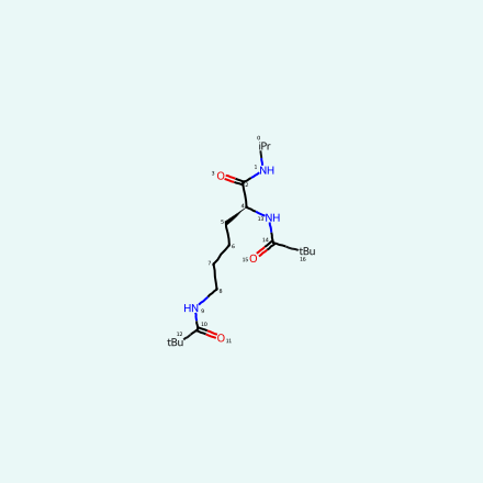 CC(C)NC(=O)[C@H](CCCCNC(=O)C(C)(C)C)NC(=O)C(C)(C)C